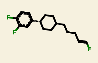 F/C=C/CCC[C@H]1CC[C@H](c2ccc(F)c(F)c2)CC1